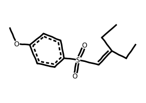 CCC(=CS(=O)(=O)c1ccc(OC)cc1)CC